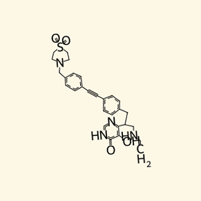 C=CNCC(Cc1ccc(C#Cc2ccc(CN3CCS(=O)(=O)CC3)cc2)cc1)c1nc[nH]c(=O)c1O